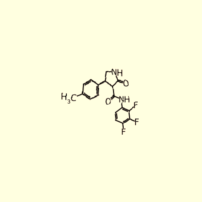 Cc1ccc(C2CNC(=O)C2C(=O)Nc2ccc(F)c(F)c2F)cc1